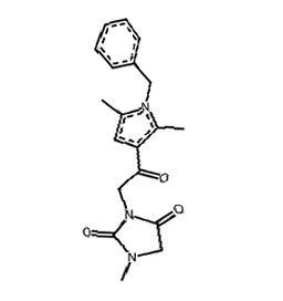 Cc1cc(C(=O)CN2C(=O)CN(C)C2=O)c(C)n1Cc1ccccc1